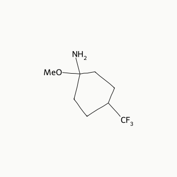 COC1(N)CCC(C(F)(F)F)CC1